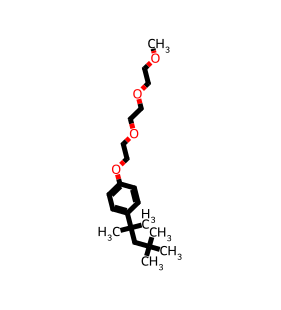 COCCOCCOCCOc1ccc(C(C)(C)CC(C)(C)C)cc1